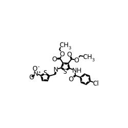 CCOC(=O)c1c(N=Cc2ccc([N+](=O)[O-])s2)sc(NC(=O)c2ccc(Cl)cc2)c1C(=O)OCC